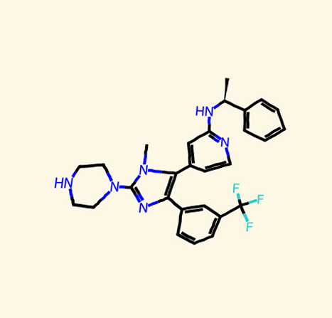 C[C@H](Nc1cc(-c2c(-c3cccc(C(F)(F)F)c3)nc(N3CCNCC3)n2C)ccn1)c1ccccc1